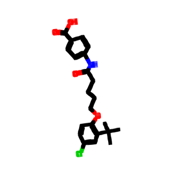 CC(C)(C)c1cc(Cl)ccc1OCCCCC(=O)Nc1ccc(C(=O)O)cc1